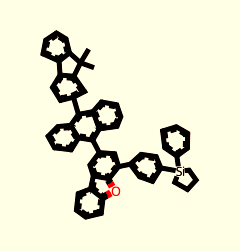 CC1(C)c2ccccc2-c2ccc(-c3c4ccccc4c(-c4cc(-c5ccc([Si]6(c7ccccc7)CCCC6)cc5)c5oc6ccccc6c5c4)c4ccccc34)cc21